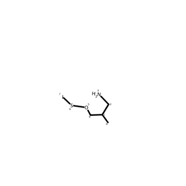 CC(CN)COSI